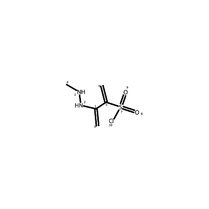 C=C(NNC)C(=C)S(=O)(=O)Cl